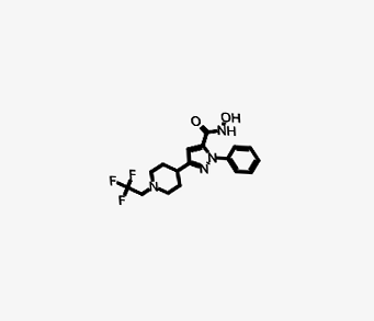 O=C(NO)c1cc(C2CCN(CC(F)(F)F)CC2)nn1-c1ccccc1